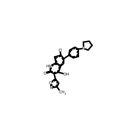 Cc1cc(-c2c(O)c3cc(-c4ccc(N5CCCC5)cc4)c(Cl)cc3[nH]c2=O)on1